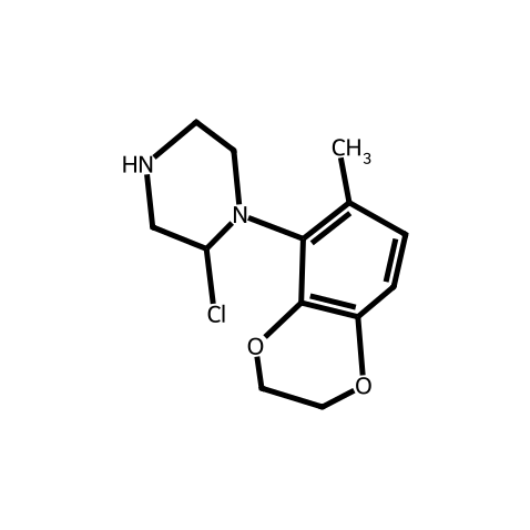 Cc1ccc2c(c1N1CCNCC1Cl)OCCO2